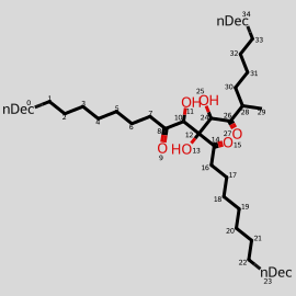 CCCCCCCCCCCCCCCCCC(=O)C(O)C(O)(C(=O)CCCCCCCCCCCCCCCCC)C(O)C(=O)C(C)CCCCCCCCCCCCCC